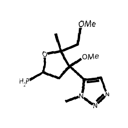 COCC1(C)OC(P)CC1(OC)c1cnnn1C